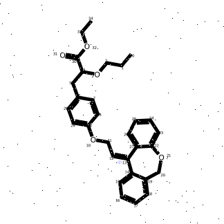 CCCOC(Cc1ccc(OC/C=C2/c3ccccc3COc3ccccc32)cc1)C(=O)OCC